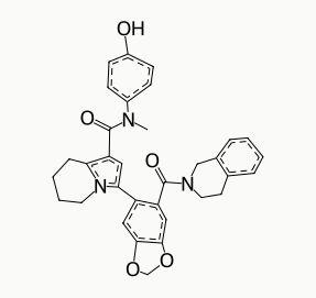 CN(C(=O)c1cc(-c2cc3c(cc2C(=O)N2CCc4ccccc4C2)OCO3)n2c1CCCC2)c1ccc(O)cc1